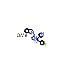 COc1cccc2c1CN(CC1CCc3nc(-c4ccc(F)cc4)c(-c4ccncc4)n31)CC2